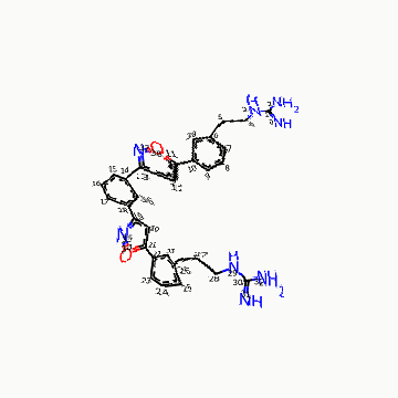 N=C(N)NCCc1cccc(-c2cc(-c3cccc(-c4cc(-c5cccc(CCNC(=N)N)c5)on4)c3)no2)c1